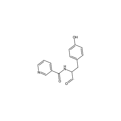 O=[C]C(Cc1ccc(O)cc1)NC(=O)c1cccnc1